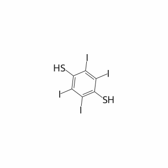 Sc1c(I)c(I)c(S)c(I)c1I